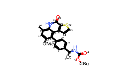 CCC(NC(=O)OC(C)(C)C)c1ccc(-c2c(OC)cc(C)c3[nH]c(=O)c4sccc4c23)cc1